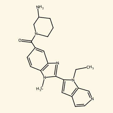 CCn1c(-c2nc3cc(C(=O)N4CCCC(N)C4)ccc3n2C)cc2ccncc21